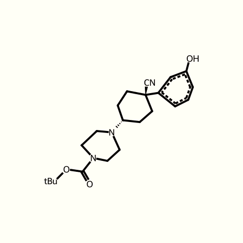 CC(C)(C)OC(=O)N1CCN([C@H]2CC[C@@](C#N)(c3cccc(O)c3)CC2)CC1